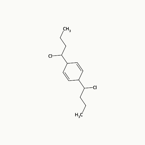 CCCC(Cl)C1C=CC(C(Cl)CCC)C=C1